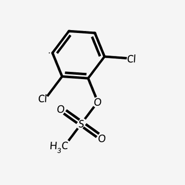 CS(=O)(=O)Oc1c(Cl)[c]ccc1Cl